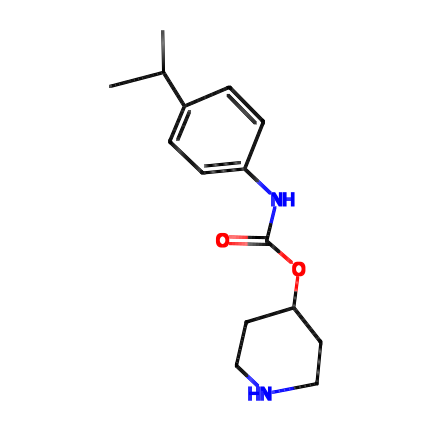 CC(C)c1ccc(NC(=O)OC2CCNCC2)cc1